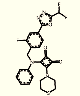 O=c1c(N2CCSCC2)c(N(Cc2ccc(-c3nnc(C(F)F)o3)cc2F)c2ccccc2)c1=O